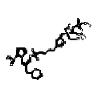 CC[N+](CC)(Cc1cn(CCCCS(=O)(=O)OCC(Cn2ccnc2[N+](=O)[O-])OC2CCCCO2)nn1)C(C)OS(C)(=O)=O